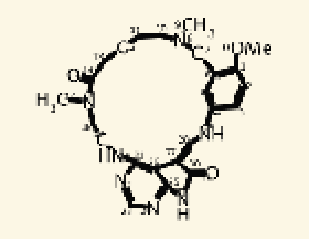 COc1ccc2cc1CN(C)CCCCC(=O)N(C)CCNc1ncnc3c1/C(=C/N2)C(=O)N3